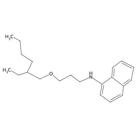 CCCCC(CC)COCCCNc1cccc2ccccc12